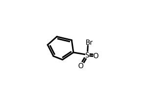 O=S(=O)(Br)c1ccccc1